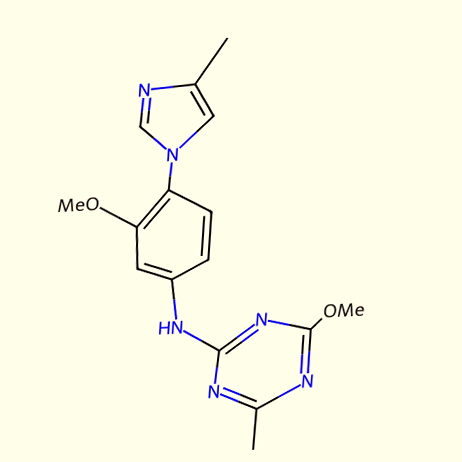 COc1nc(C)nc(Nc2ccc(-n3cnc(C)c3)c(OC)c2)n1